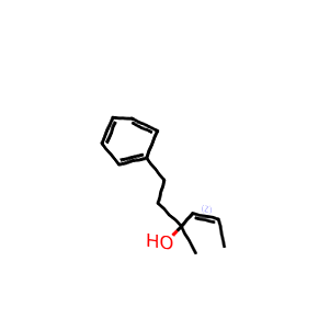 C/C=C\C(C)(O)CCc1ccccc1